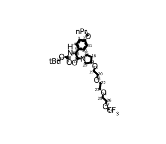 CCCOc1ccc([C@H](NC(=O)OC(C)(C)C)C(=O)N2CC[C@H](OCCOCCOCCOC(F)(F)F)C2)cc1